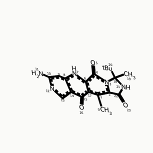 Cc1c2n(c(=O)c3[nH]c4cc(N)ncc4c(=O)c13)C(C)(C(C)(C)C)NC2=O